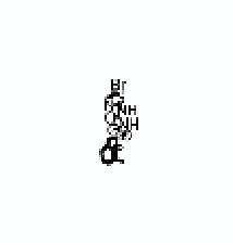 Cc1cccc2cc(S(=O)(=O)NC(=O)Nc3ncc(Br)s3)sc12